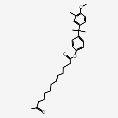 COc1ccc(C(C)(C)c2ccc(OC(=O)CCCCCCCCCCC(C)=O)cc2)cc1C